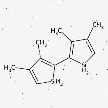 CC1=C[SiH2]C(C2=C(C)C(C)=C[SiH2]2)=C1C